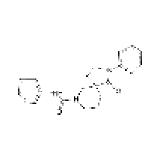 O=C(Nc1ccccc1)N1CCCC2(CCN(c3ccccc3)C2=O)C1